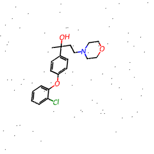 CC(O)(CCN1CCOCC1)c1ccc(Oc2ccccc2Cl)cc1